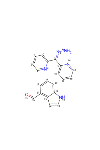 NN=C(c1ccccn1)c1ccccn1.O=Cc1cccc2[nH]ccc12